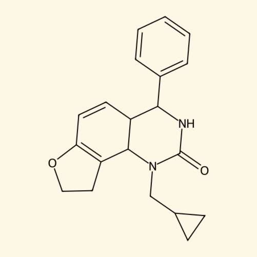 O=C1NC(c2ccccc2)C2C=CC3=C(CCO3)C2N1CC1CC1